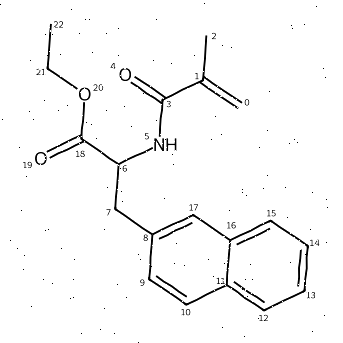 C=C(C)C(=O)NC(Cc1ccc2ccccc2c1)C(=O)OCC